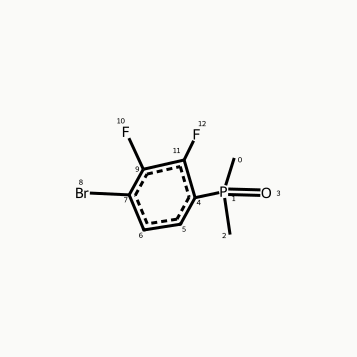 CP(C)(=O)c1ccc(Br)c(F)c1F